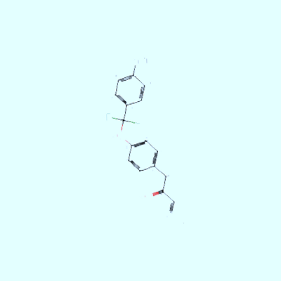 C=CC(=O)Cc1ccc(OC(F)(F)c2ccc(CCC)cc2)cc1